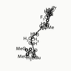 COC(=O)[C@H](CCC(=O)NCCCCCC(=O)NCCSSC(C)(C)CCC(=O)NCCCCCC(=O)N1C[C@H](O[Si](C)(C)C(C)(C)C)C[C@H]1COC(c1ccccc1)(c1ccc(OC)cc1)c1ccc(OC)cc1)NC(=O)c1ccc(N(Cc2cnc3nc(NC(=O)C(C)C)[nH]c(=O)c3n2)C(=O)C(F)(F)F)cc1